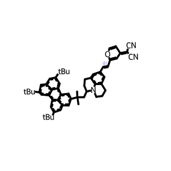 CC(C)(C)c1cc2cc(C(C)(C)C)cc3c4cc(C(C)(C)CC5CCc6cc(/C=C/C7=CC(=C(C#N)C#N)C=CO7)cc7c6N5CCC7)cc5cc(C(C)(C)C)cc(c(c1)c23)c54